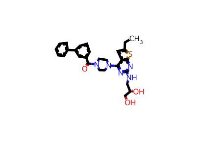 CCc1cc2c(N3CCN(C(=O)c4cccc(-c5ccccc5)c4)CC3)nc(NC[C@@H](O)CO)nc2s1